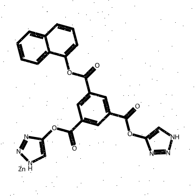 O=C(Oc1c[nH]nn1)c1cc(C(=O)Oc2c[nH]nn2)cc(C(=O)Oc2cccc3ccccc23)c1.[Zn]